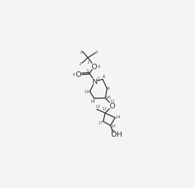 CC(C)(C)OC(=O)N1CCC(OC2(C)CC(O)C2)CC1